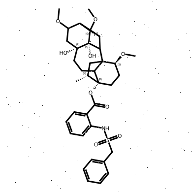 COC1C[C@]2(O)CCC3C4(C[C@@H](C)[C@]3(OC(=O)c3ccccc3NS(=O)(=O)Cc3ccccc3)CC[C@@H]4OC)C3CC1[C@H](OC)[C@@]32O